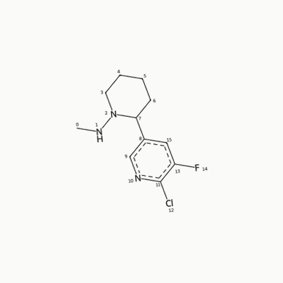 CNN1CCCCC1c1cnc(Cl)c(F)c1